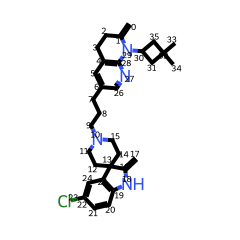 C=C1CCc2cc(CCCN3CCC4(CC3)C(=C)Nc3ccc(Cl)cc34)cnc2N1C1CC(C)(C)C1